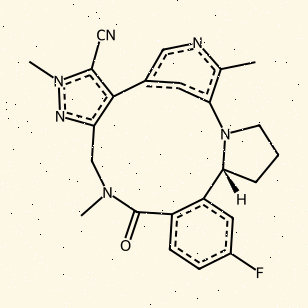 Cc1ncc2cc1N1CCC[C@@H]1c1cc(F)ccc1C(=O)N(C)Cc1nn(C)c(C#N)c1-2